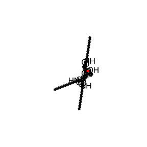 C=CN(CCOC(=O)NCCCCCCCCCCCCCCCCCC)c1ccc2c(-c3ccccc3C(=O)O)c3ccc(=[N+](CCOC(=O)NCCCCCCCCCCCCCCCCCC)CCOC(=O)NCCCCCCCCCCCCCCCCCC)cc-3oc2c1